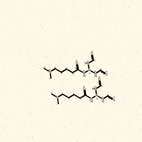 CN(C)CCCCC(=O)[NH][Al]([NH]C=O)[NH]C=O.CN(C)CCCCC(=O)[NH][Al]([NH]C=O)[NH]C=O